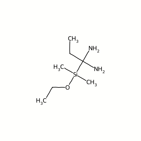 CCO[Si](C)(C)C(N)(N)CC